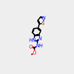 COC(=O)Nc1nc2cc(-c3ccns3)ccc2[nH]1